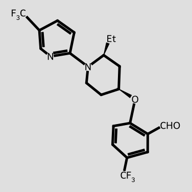 CC[C@H]1C[C@@H](Oc2ccc(C(F)(F)F)cc2C=O)CCN1c1ccc(C(F)(F)F)cn1